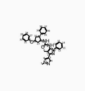 Cc1c(-c2cnn(C)c2)nn(-c2ccccc2)c1NC(=O)N[C@@H]1C[C@@H](Oc2ccccc2)C[C@H]1c1ccccc1